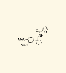 COc1ccc(C2(CNC(=O)c3ccco3)CCCC2)cc1OC